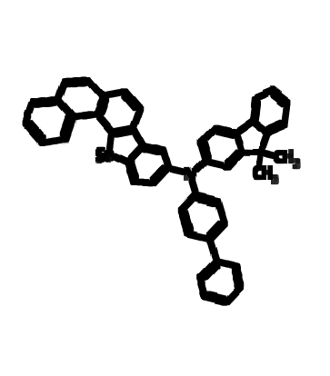 CC1(C)c2ccccc2-c2ccc(N(c3ccc(-c4ccccc4)cc3)c3ccc4[se]c5c(ccc6ccc7ccccc7c65)c4c3)cc21